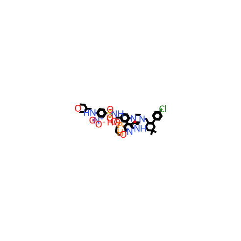 CC1(C)CCC(CN2CCN(c3ccc(C(=O)NS(=O)(=O)c4ccc(NCC5CCOCC5)c([N+](=O)[O-])c4)c([PH]4(O)CCCOc5nc6[nH]ccc6cc54)c3)CC2)=C(c2ccc(Cl)cc2)C1